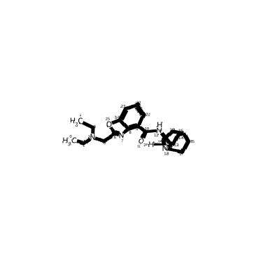 CCN(CC)Cc1nc2c(C(=O)N[C@@H]3CC4CCN3CC4)cccc2o1